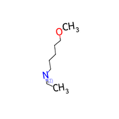 C/C=N\CCCCCOC